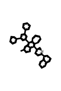 Cc1ccc2c(-c3ccc(-c4cccc5ccccc45)nc3)c3c(c(-c4cc(-c5ccccc5)cc(-c5ccccc5)c4)c2c1)C=C=CC=C3